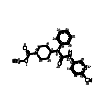 CC(C)(C)OC(=O)N1CCC(N(C(=O)Nc2ccc(C#N)nc2)c2ccccc2)CC1